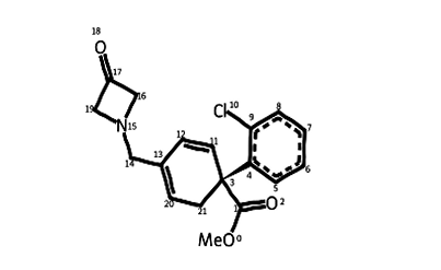 COC(=O)[C@@]1(c2ccccc2Cl)C=CC(CN2CC(=O)C2)=CC1